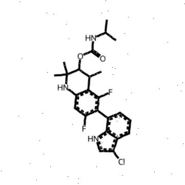 CC(C)NC(=O)OC1C(C)c2c(cc(F)c(-c3cccc4c(Cl)c[nH]c34)c2F)NC1(C)C